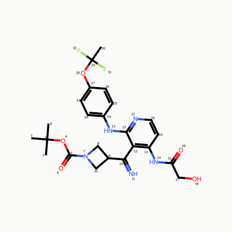 CC(C)(C)OC(=O)N1CC(C(=N)c2c(NC(=O)CO)ccnc2Nc2ccc(OC(C)(F)F)cc2)C1